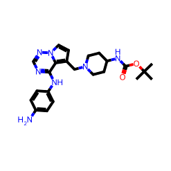 CC(C)(C)OC(=O)NC1CCN(Cc2ccn3ncnc(Nc4ccc(N)cc4)c23)CC1